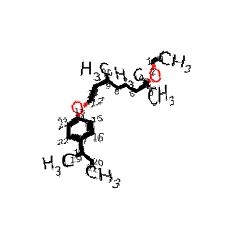 CCOC(C)(C)CCCC(C)CCOc1ccc(C(C)CC)cc1